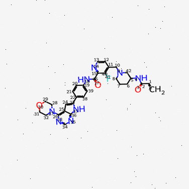 C=CC(=O)NC1CCCN(Cc2ccnc(C(=O)Nc3ccc(-c4cc5c(N6CCOCC6)ncnc5[nH]4)cc3)c2F)C1